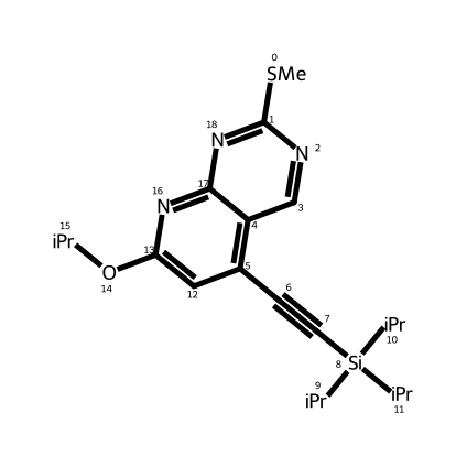 CSc1ncc2c(C#C[Si](C(C)C)(C(C)C)C(C)C)cc(OC(C)C)nc2n1